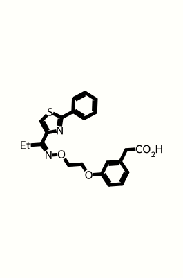 CCC(=NOCCOc1cccc(CC(=O)O)c1)c1csc(-c2ccccc2)n1